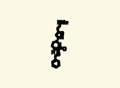 CNCCC1CC([C@@H]2CC[C@@H]3CN2C(=O)N3OCc2ccccc2)=NO1